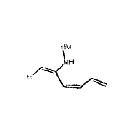 C=C/C=C\C(=C/CC)NCCCC